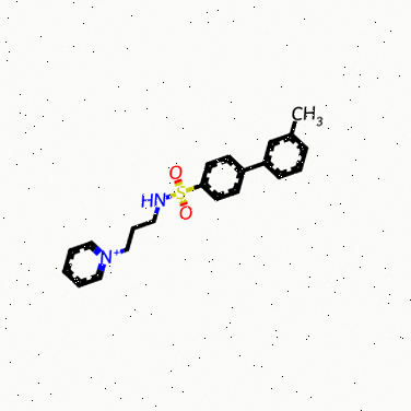 Cc1cccc(-c2ccc(S(=O)(=O)NCCC[n+]3ccccc3)cc2)c1